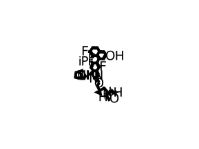 CC(C)c1cc2c(N3CC4CCC(C3)N4)nc(OCC3(CN4C[C@H]5C[C@@H]4CO5)CC3)nc2c(F)c1-c1cc(O)cc2ccc(F)c(F)c12